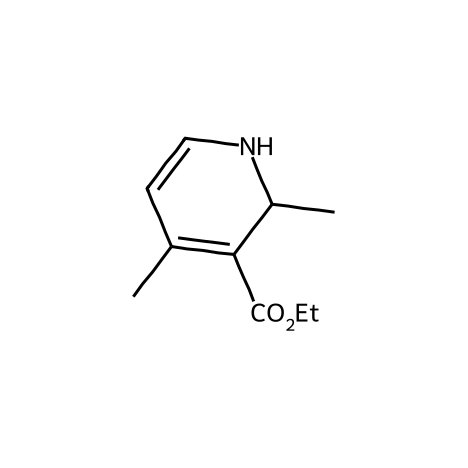 CCOC(=O)C1=C(C)C=CNC1C